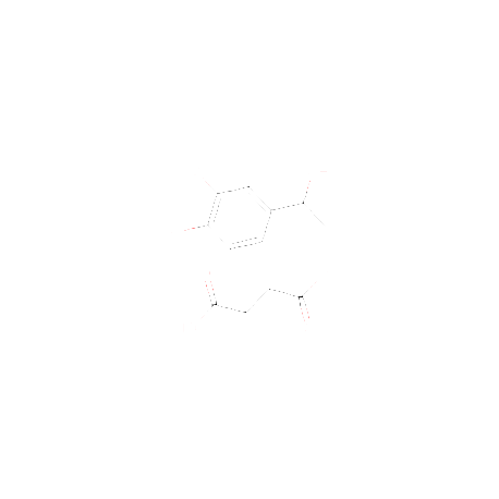 CC(O)c1ccc(O)c(O)c1.O=C(O)CCC(=O)O